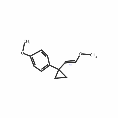 CO/C=C/C1(c2ccc(OC)cc2)CC1